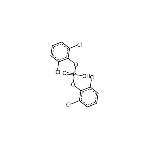 O=P(O)(Oc1c(Cl)cccc1Cl)Oc1c(Cl)cccc1Cl